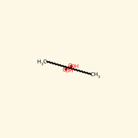 CCCCCCCCCCCCCCCCC(CCC(CCCCCCCCCCCCCCCC)C(=O)O)C(=O)O